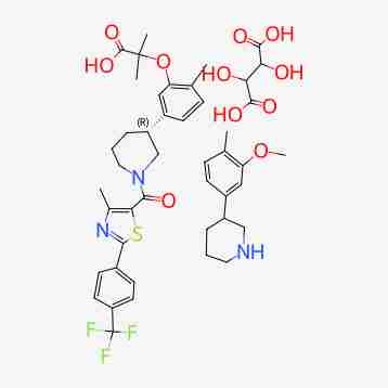 COc1cc(C2CCCNC2)ccc1C.Cc1ccc([C@H]2CCCN(C(=O)c3sc(-c4ccc(C(F)(F)F)cc4)nc3C)C2)cc1OC(C)(C)C(=O)O.O=C(O)C(O)C(O)C(=O)O